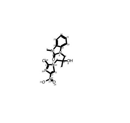 Cn1c(=O)n(CC(C)(O)Cn2cc([N+](=O)[O-])nc2Cl)c2ccccc21